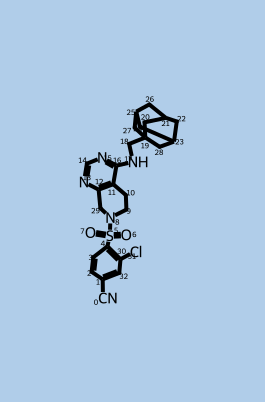 N#Cc1ccc(S(=O)(=O)N2CCc3c(ncnc3NCC34CC5CC(CC(C5)C3)C4)C2)c(Cl)c1